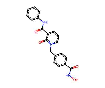 O=C(NO)c1ccc(Cn2cccc(C(=O)Nc3ccccc3)c2=O)cc1